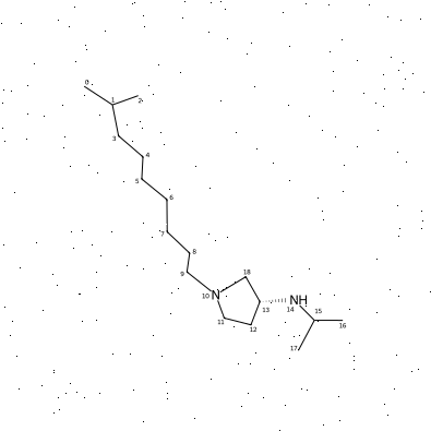 CC(C)CCCCCCCN1CC[C@@H](NC(C)C)C1